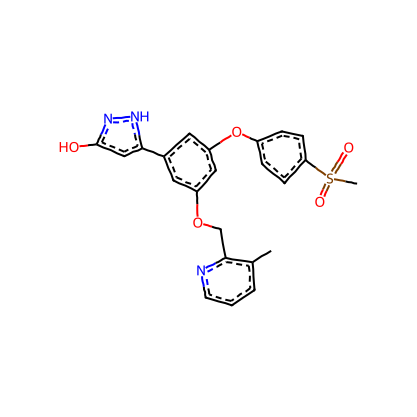 Cc1cccnc1COc1cc(Oc2ccc(S(C)(=O)=O)cc2)cc(-c2cc(O)n[nH]2)c1